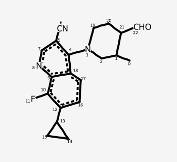 CC1CN(c2c(C#N)cnc3c(F)c(C4CC4)ccc23)CCC1C=O